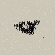 CC(C)(O/N=C(\C(=O)NC1C(=O)N2C[C@@](C(=O)O)(N3CCN(NC(=O)N4CCN(C(=O)c5ccc(O)c(O)c5Cl)CC4)C3=O)S[C@H]12)c1csc(N)n1)C(=O)O